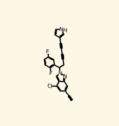 C#Cc1cc(Cl)c2cn(C(CC#CC#Cc3cc[nH]c3)c3cc(F)ccc3F)nc2c1